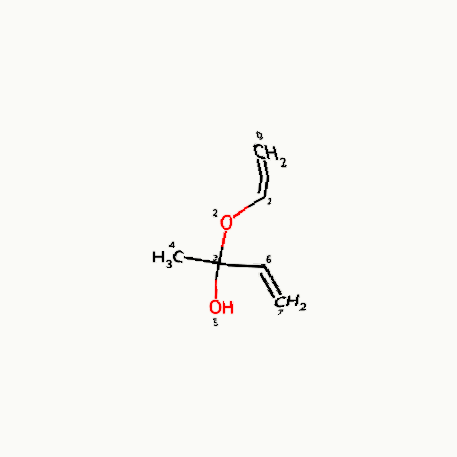 C=COC(C)(O)C=C